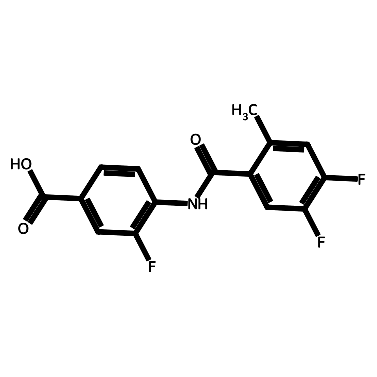 Cc1cc(F)c(F)cc1C(=O)Nc1ccc(C(=O)O)cc1F